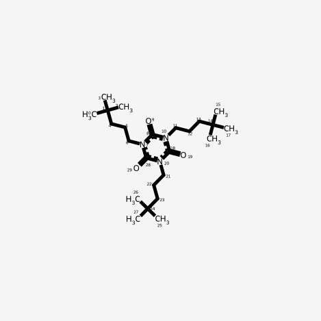 CC(C)(C)CCCn1c(=O)n(CCCC(C)(C)C)c(=O)n(CCCC(C)(C)C)c1=O